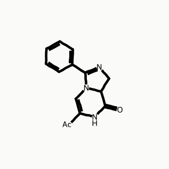 CC(=O)C1=CN2C(c3ccccc3)=NCC2C(=O)N1